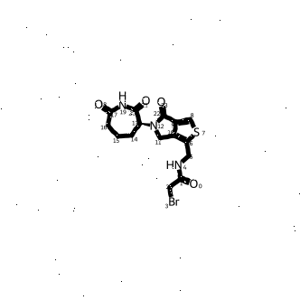 O=C(CBr)NCc1scc2c1CN([C@H]1CCCC(=O)NC1=O)C2=O